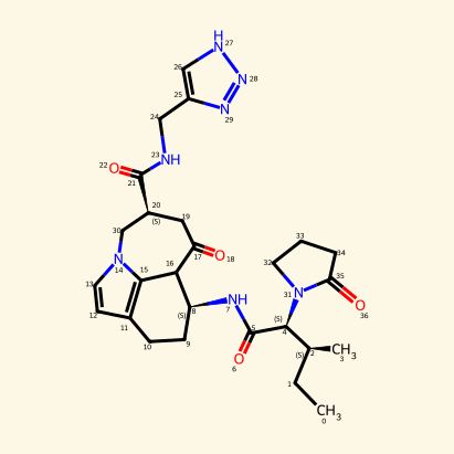 CC[C@H](C)[C@@H](C(=O)N[C@H]1CCc2ccn3c2C1C(=O)C[C@H](C(=O)NCc1c[nH]nn1)C3)N1CCCC1=O